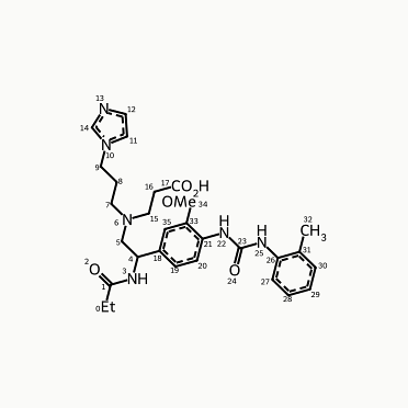 CCC(=O)NC(CN(CCCn1ccnc1)CCC(=O)O)c1ccc(NC(=O)Nc2ccccc2C)c(OC)c1